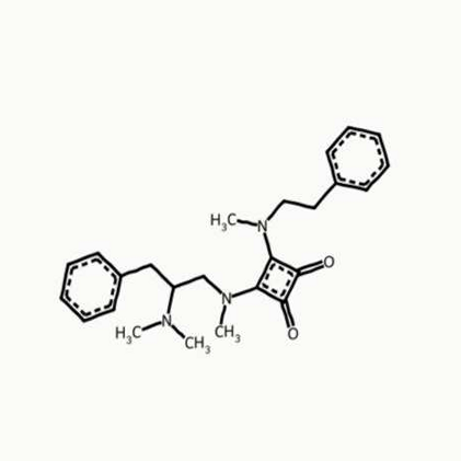 CN(CCc1ccccc1)c1c(N(C)CC(Cc2ccccc2)N(C)C)c(=O)c1=O